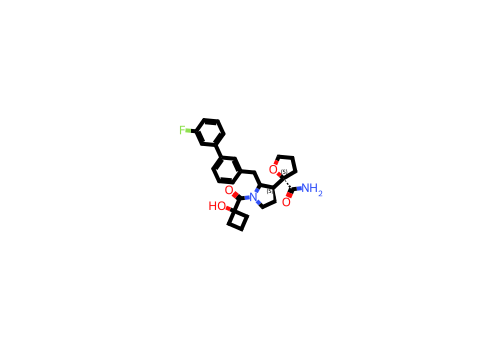 NC(=O)[C@@]1([C@H]2CCN(C(=O)C3(O)CCC3)C2Cc2cccc(-c3cccc(F)c3)c2)CCCO1